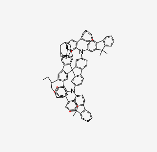 CCC1CC2CCCC(C2)c2cc3c(cc21)-c1cc2c(cc1C31c3cc(N(c4ccc5c(c4)C(C)(C)c4ccccc4-5)c4ccccc4-c4ccccc4)ccc3-c3ccc(N(c4ccc5c(c4)C(C)(C)c4ccccc4-5)c4ccccc4-c4ccccc4)cc31)C1CC3CC(CC2C3)C1